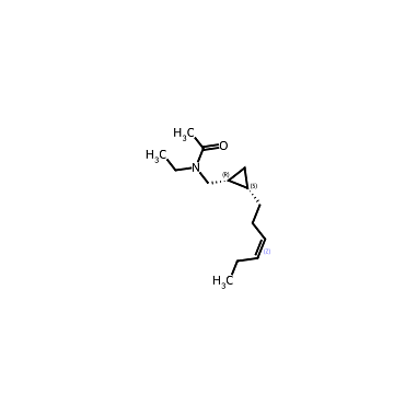 CC/C=C\CC[C@H]1C[C@H]1CN(CC)C(C)=O